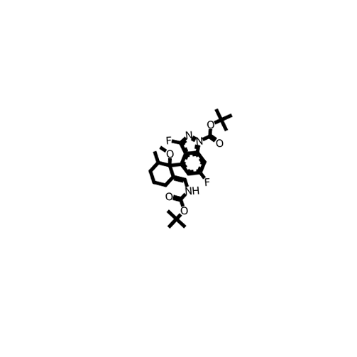 COC1(c2cc(F)cc3c2c(F)nn3C(=O)OC(C)(C)C)/C(=C/NC(=O)OC(C)(C)C)CCCC1C